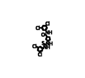 O=C(Nc1cc(Cl)cc(Cl)c1)C1CCC(NC(=S)Nc2cc(Cl)cc(Cl)c2)C1